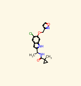 C[C@H](NC(=O)C1(C)CC1)c1cc2cc(Cl)c(OCc3ccon3)cc2[nH]1